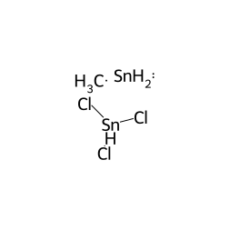 [CH3].[Cl][SnH]([Cl])[Cl].[SnH2]